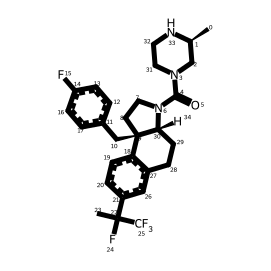 C[C@H]1CN(C(=O)N2CC[C@@]3(Cc4ccc(F)cc4)c4ccc(C(C)(F)C(F)(F)F)cc4CC[C@@H]23)CCN1